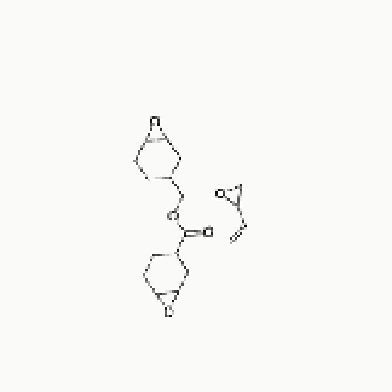 C=CC1CO1.O=C(OCC1CCC2OC2C1)C1CCC2OC2C1